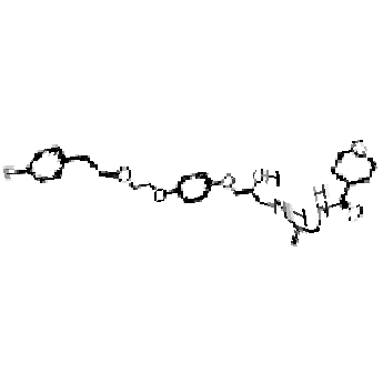 CC(CNC(=O)C1CCOCC1)NC[C@H](O)COc1ccc(OCCOCCc2ccc(F)cc2)cc1